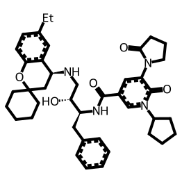 CCc1ccc2c(c1)[C@@H](NC[C@@H](O)[C@H](Cc1ccccc1)NC(=O)c1cc(N3CCCC3=O)c(=O)n(C3CCCC3)c1)CC1(CCCCC1)O2